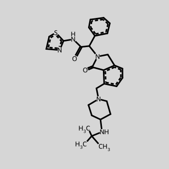 CC(C)(C)NC1CCN(Cc2cccc3c2C(=O)N(C(C(=O)Nc2nccs2)c2ccccc2)C3)CC1